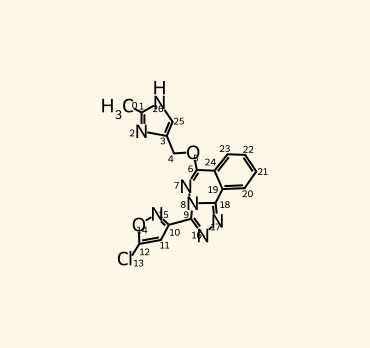 Cc1nc(COc2nn3c(-c4cc(Cl)on4)nnc3c3ccccc23)c[nH]1